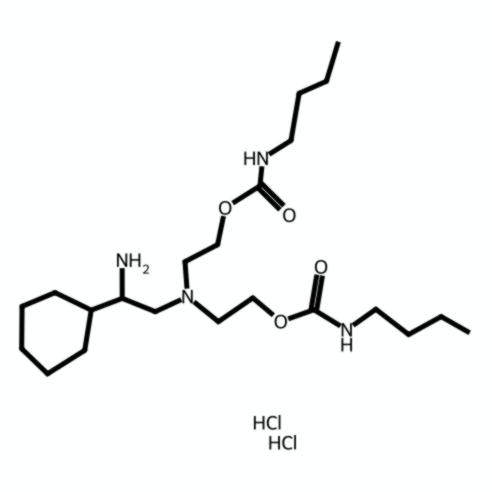 CCCCNC(=O)OCCN(CCOC(=O)NCCCC)CC(N)C1CCCCC1.Cl.Cl